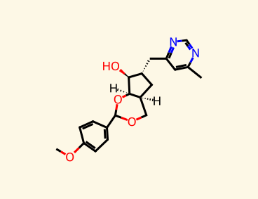 COc1ccc(C2OC[C@@H]3C[C@@H](Cc4cc(C)ncn4)[C@H](O)[C@@H]3O2)cc1